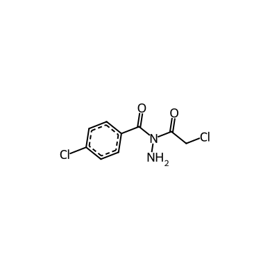 NN(C(=O)CCl)C(=O)c1ccc(Cl)cc1